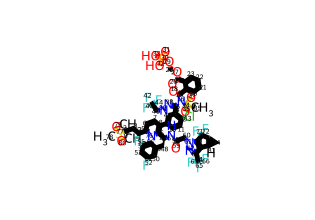 CC(C)(CCc1ccc(-c2ccc(Cl)c3c(N(C(=O)c4ccccc4C(=O)OCOP(=O)(O)O)S(C)(=O)=O)nn(CC(F)(F)F)c23)c([C@H](Cc2cc(F)cc(F)c2)NC(=O)Cn2nc(C(F)(F)F)c3c2C(F)(F)C2C[C@H]32)n1)S(C)(=O)=O